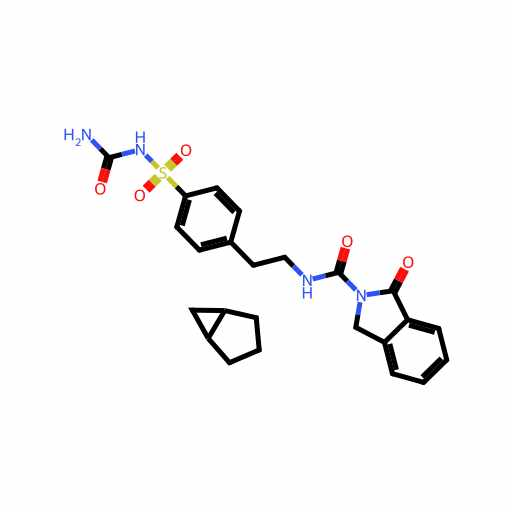 C1CC2CC2C1.NC(=O)NS(=O)(=O)c1ccc(CCNC(=O)N2Cc3ccccc3C2=O)cc1